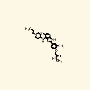 CCCN1CCC(Nc2c(Br)cnc3[nH]c(-c4ccc(OCC(=O)NC)c(C)c4)nc23)CC1